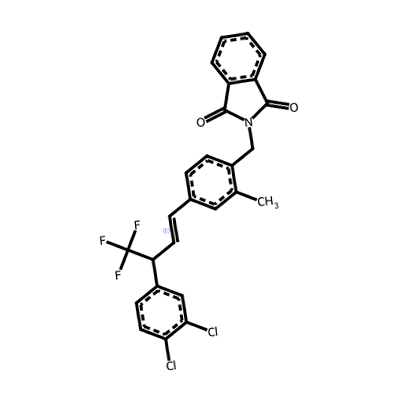 Cc1cc(/C=C/C(c2ccc(Cl)c(Cl)c2)C(F)(F)F)ccc1CN1C(=O)c2ccccc2C1=O